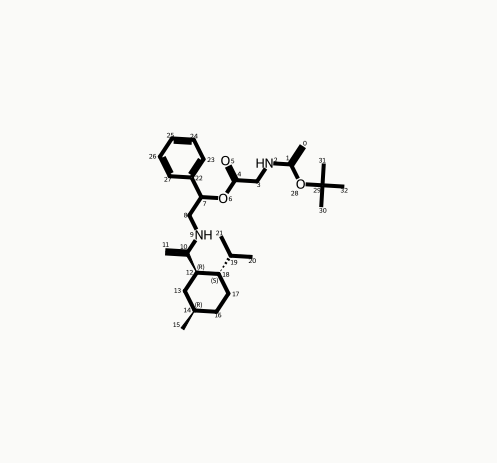 C=C(NCC(=O)OC(CNC(=C)[C@@H]1C[C@H](C)CC[C@H]1C(C)C)c1ccccc1)OC(C)(C)C